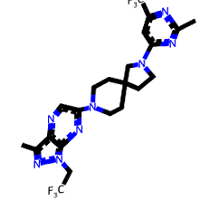 Cc1nc(N2CCC3(CCN(c4cnc5c(C)nn(CC(F)(F)F)c5n4)CC3)C2)cc(C(F)(F)F)n1